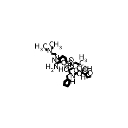 CCN(CC)CCn1nc(N)c2cc(S(=O)(=O)N(CC(C)C)C[C@@H](O)[C@H](Cc3ccccc3)NC(=O)OC3CO[C@H]4OCC[C@@H]34)ccc21